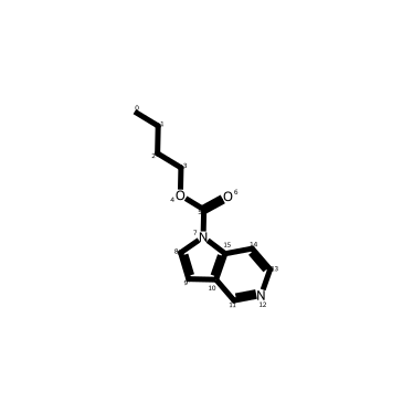 CCCCOC(=O)n1ccc2cnccc21